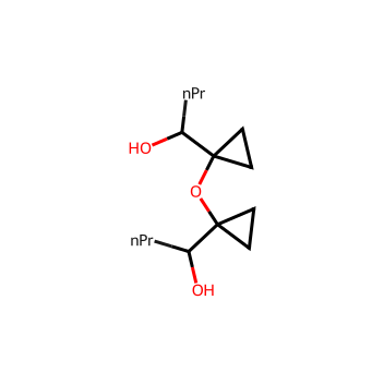 CCCC(O)C1(OC2(C(O)CCC)CC2)CC1